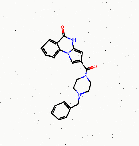 O=C(c1cc2[nH]c(=O)c3ccccc3n2c1)N1CCN(Cc2ccccc2)CC1